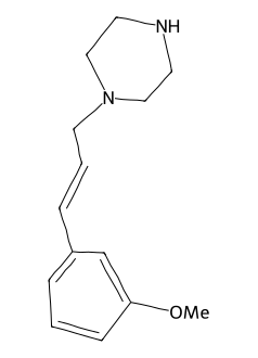 COc1cccc(C=CCN2CCNCC2)c1